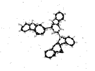 c1ccc2cc3c(cc2c1)c1ccccc1n3-c1nc(-c2ccc3c(c2)sc2ccccc23)c2sc3ccccc3c2n1